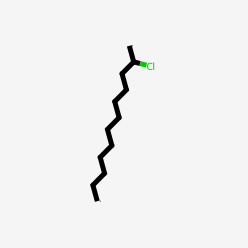 [CH2]CCCCCCCCCC([CH2])Cl